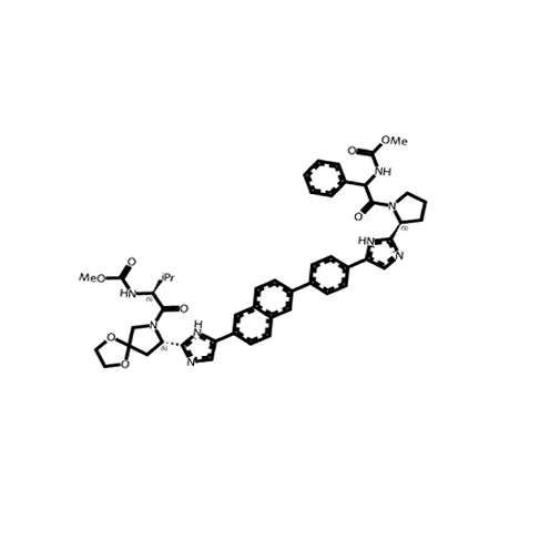 COC(=O)NC(C(=O)N1CCC[C@H]1c1ncc(-c2ccc(-c3ccc4cc(-c5cnc([C@@H]6CC7(CN6C(=O)[C@@H](NC(=O)OC)C(C)C)OCCO7)[nH]5)ccc4c3)cc2)[nH]1)c1ccccc1